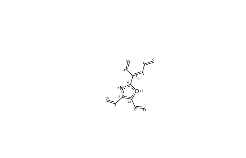 C=C/C=C(\C=C)c1nc(C=C)c(C=C)o1